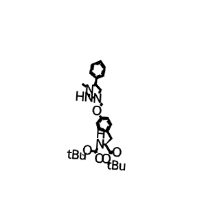 CN1NN(COc2ccc(C[C@H](NC(=O)OC(C)(C)C)C(=O)OC(C)(C)C)cc2)CC1c1ccccc1